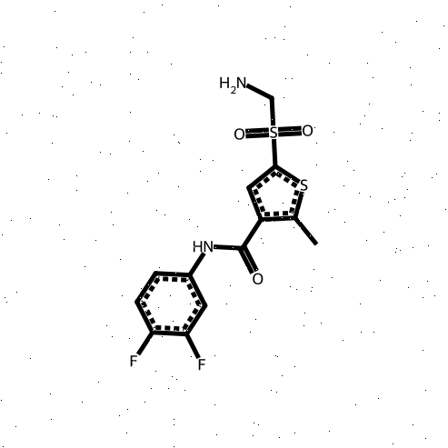 Cc1sc(S(=O)(=O)CN)cc1C(=O)Nc1ccc(F)c(F)c1